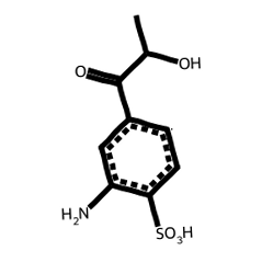 CC(O)C(=O)c1[c]cc(S(=O)(=O)O)c(N)c1